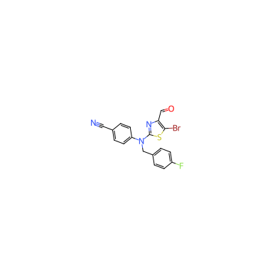 N#Cc1ccc(N(Cc2ccc(F)cc2)c2nc(C=O)c(Br)s2)cc1